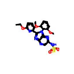 CCOc1cccc(-c2nc3ncc(N[SH](=O)=O)nc3n2-c2c(OC)cccc2OC)n1